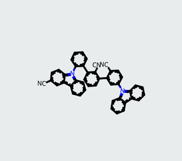 N#Cc1ccc2c(c1)c1ccccc1n2-c1ccccc1-c1cccc(-c2cc(-n3c4ccccc4c4ccccc43)ccc2C#N)c1C#N